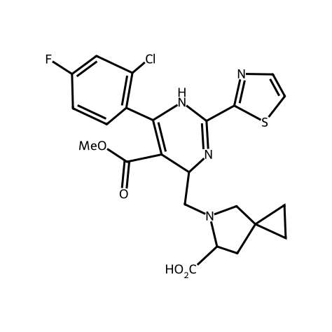 COC(=O)C1=C(c2ccc(F)cc2Cl)NC(c2nccs2)=NC1CN1CC2(CC2)CC1C(=O)O